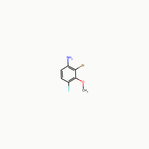 COc1c(F)ccc(N)c1Br